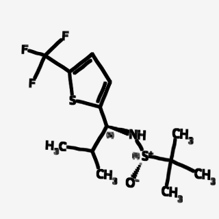 CC(C)[C@H](N[S@@+]([O-])C(C)(C)C)c1ccc(C(F)(F)F)s1